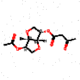 CC(=O)CC(=O)O[C@H]1CO[C@H]2[C@@H]1OC[C@H]2OC(C)=O